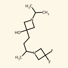 CC(C)N1CC(O)(CCC(C)N2CC(F)(F)C2)C1